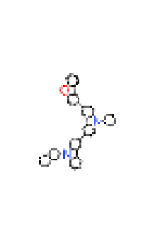 c1ccc(-n2c3ccc(-c4ccc5oc6ccccc6c5c4)cc3c3cc(-c4ccc5c(c4)c4ccccc4n5-c4ccc5ccccc5c4)ccc32)cc1